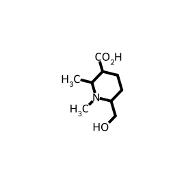 CC1C(C(=O)O)CCC(CO)N1C